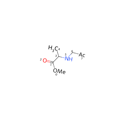 COC(=O)C(C)NCC(C)=O